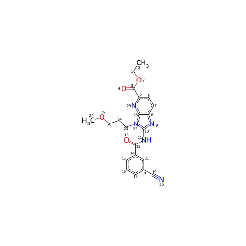 CCOC(=O)c1ccc2nc(NC(=O)c3cccc(C#N)c3)n(CCCOC)c2n1